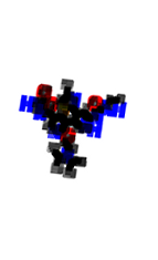 CCNC(=O)Nc1cc(-c2nc(C)cs2)c(-c2cc(-c3n[nH]c(=O)o3)cnc2OCCN(C(C)C)C(C)C)cn1